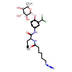 C#CCC(NC(=O)CCCCCN=[N+]=[N-])C(=O)Nc1ccc(O[C@H]2O[C@@H](C(=O)O)[C@H](O)[C@@H](O)[C@@H]2O)c(C(F)F)c1